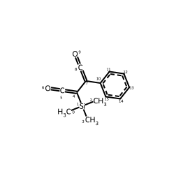 C[Si](C)(C)C(=C=O)C(=C=O)c1ccccc1